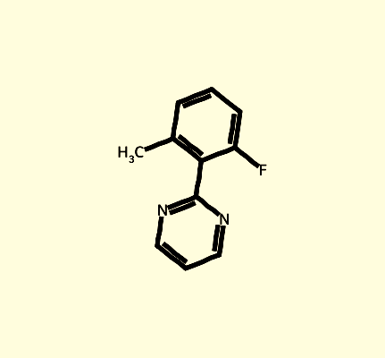 Cc1cccc(F)c1-c1ncccn1